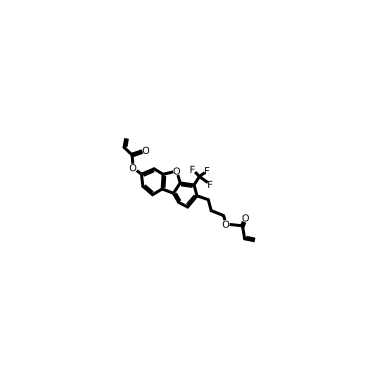 C=CC(=O)OCCCc1ccc2c(oc3cc(OC(=O)C=C)ccc32)c1C(F)(F)F